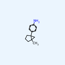 CC12CCCC1(c1ccc(N)cc1)C2